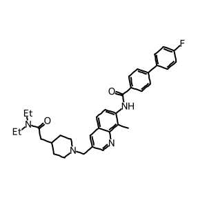 CCN(CC)C(=O)CC1CCN(Cc2cnc3c(C)c(NC(=O)c4ccc(-c5ccc(F)cc5)cc4)ccc3c2)CC1